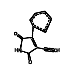 C#CC1=C(c2ccccc2)C(=O)NC1=O